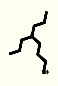 CCCN(CCC)CCC[NH]